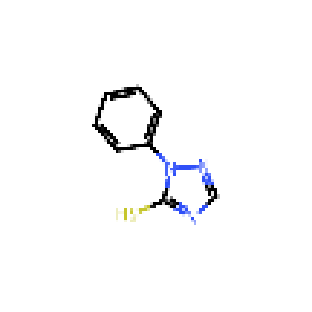 Sc1ncnn1-c1ccccc1